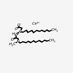 CCCCCCCCCCCCN(C)CC(=O)[O-].CCCCCCCCCCCCN(C)CC(=O)[O-].[Ca+2]